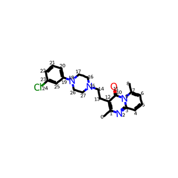 Cc1nc2cccc(C)n2c(=O)c1CCN1CCN(c2cccc(Cl)c2)CC1